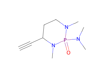 C#CC1CCN(C)P(=O)(N(C)C)N1C